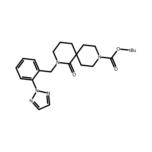 CC(C)(C)OC(=O)N1CCC2(CCCN(Cc3ccccc3-n3nccn3)C2=O)CC1